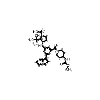 COC(=O)NC1CCN(C(=O)c2cc(N[C@H]3CCN(C(=O)O)C3C(C)(C)C)nc(-c3cnn4ccsc34)n2)CC1